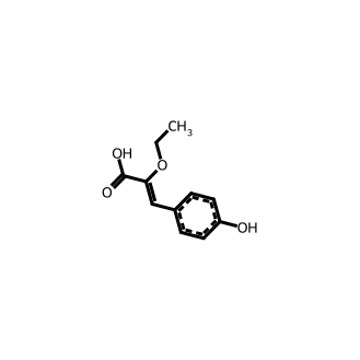 CCOC(=Cc1ccc(O)cc1)C(=O)O